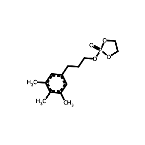 Cc1cc(CCCOP2(=O)OCCO2)cc(C)c1C